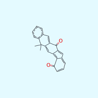 CC1(C)C2=CC3=C4C(=O)C=CC=C4C=C3C(=O)C2=Cc2ccccc21